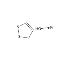 C1=CSSC1.CCCO